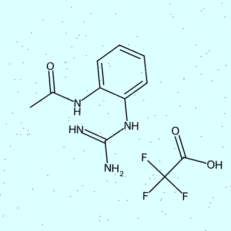 CC(=O)Nc1ccccc1NC(=N)N.O=C(O)C(F)(F)F